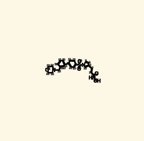 O=C(C=Cc1ccn(S(=O)(=O)c2ccc(-c3cccc(CN4CCOCC4)c3)cc2)c1)NO